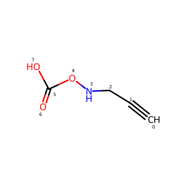 C#CCNOC(=O)O